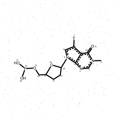 Cn1cnc2c(c(F)cn2C2CCC(COP(O)O)O2)c1=O